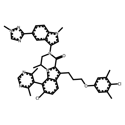 Cc1cc(OCCCc2c3n(c4c(-c5c(C)ncnc5C)c(Cl)ccc24)C(C)CN(c2cn(C)c4ccc(-c5ncn(C)n5)cc24)C3=O)cc(C)c1Cl